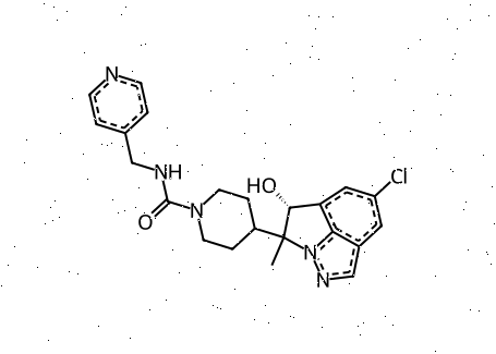 CC1(C2CCN(C(=O)NCc3ccncc3)CC2)[C@H](O)c2cc(Cl)cc3cnn1c23